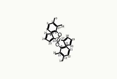 Cc1cccc([O][Zr]([O]c2cccc(C)c2C)([C]2=CC=CC2)[C]2=CC=CC2)c1C